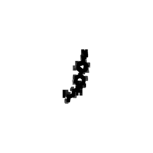 CC(F)CCC[SiH]1CCC(c2ccc(C#N)cc2)CC1